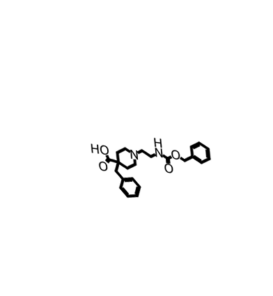 O=C(NCCN1CCC(Cc2ccccc2)(C(=O)O)CC1)OCc1ccccc1